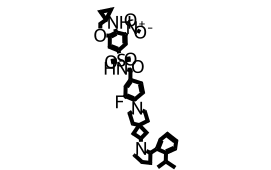 CC(C)c1ccccc1C1CCCN1C1CC2(CCN(c3ccc(C(=O)NS(=O)(=O)c4cc5c(c([N+](=O)[O-])c4)NC4(CC4)CO5)cc3F)CC2)C1